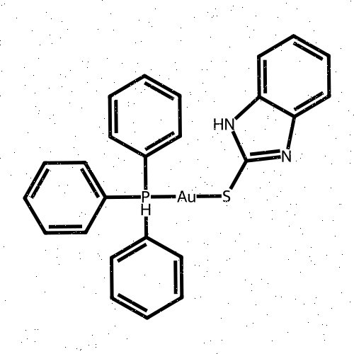 c1ccc([PH]([Au][S]c2nc3ccccc3[nH]2)(c2ccccc2)c2ccccc2)cc1